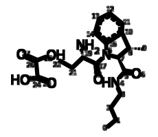 CCCCNC(=O)[C@@H]1[C@@H](C)c2ccccc2N1C(=O)[C@@H](N)CC.O=C(O)C(=O)O